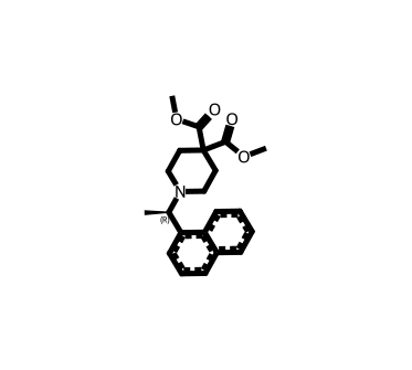 COC(=O)C1(C(=O)OC)CCN([C@H](C)c2cccc3ccccc23)CC1